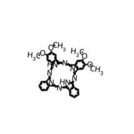 COc1cc2c(cc1OC)-c1nc-2nc2[nH]c(nc3nc(nc4[nH]c(n1)c1cc(OC)c(OC)cc41)-c1ccccc1-3)c1ccccc21